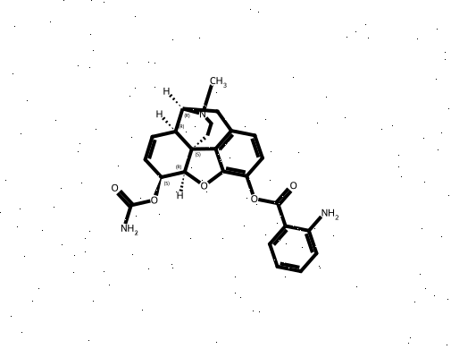 CN1CC[C@]23c4c5ccc(OC(=O)c6ccccc6N)c4O[C@H]2[C@@H](OC(N)=O)C=C[C@H]3[C@H]1C5